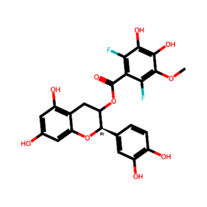 COc1c(O)c(O)c(F)c(C(=O)OC2Cc3c(O)cc(O)cc3O[C@@H]2c2ccc(O)c(O)c2)c1F